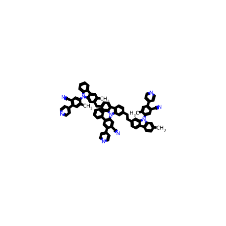 Cc1ccc2c3ccc(CCc4ccc5c6ccc(Cc7cc8c(cc7C)c7ccccc7n8-c7cc(C#N)c(-c8ccncc8)cc7C)cc6n(-c6cc(C#N)c(-c7ccncc7)cc6-c6ccccc6)c5c4)cc3n(-c3cc(C#N)c(-c4ccncc4)cc3C)c2c1